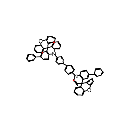 c1ccc(-c2ccc3c(c2)C2(c4ccccc4Oc4ccccc42)c2ccccc2N3c2ccc(-c3ccc(N4c5ccccc5C5(c6ccccc6Oc6ccccc65)c5cc(-c6ccccc6)ccc54)cc3)cc2)cc1